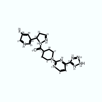 O=C(C1CCN(c2nccc(-c3nn[nH]n3)n2)CC1)N1N=CCC1c1cncc(F)c1